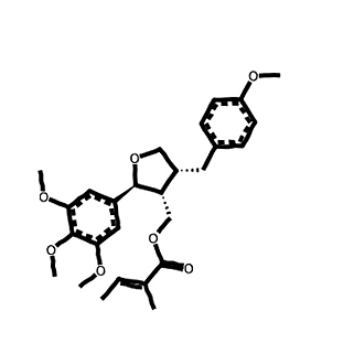 CC=C(C)C(=O)OC[C@H]1[C@@H](Cc2ccc(OC)cc2)CO[C@@H]1c1cc(OC)c(OC)c(OC)c1